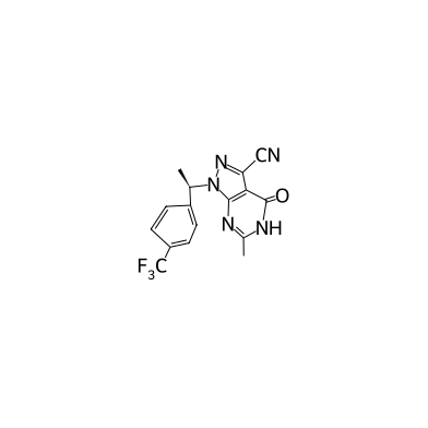 Cc1nc2c(c(C#N)nn2[C@H](C)c2ccc(C(F)(F)F)cc2)c(=O)[nH]1